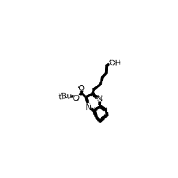 CC(C)(C)OC(=O)c1nc2ccccc2nc1CCCCCO